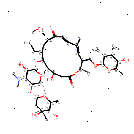 CC[C@H]1OC(=O)C[C@@H](O)[C@H](C)[C@@H](O[C@@H]2O[C@H](C)[C@@H](O[C@H]3C[C@@](C)(O)[C@@H](O)[C@H](C)O3)[C@H](N(C)C)[C@H]2O)[C@@H](CC=O)C[C@@H](C)C(=O)/C=C/C(C)=C/C1CO[C@@H]1O[C@H](C)[C@@H](O)[C@@H](OC)[C@H]1OC.CO